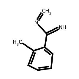 C=NC(=N)c1ccccc1C